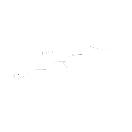 CSCC[C@H](O)C(=O)OCCC(C)C